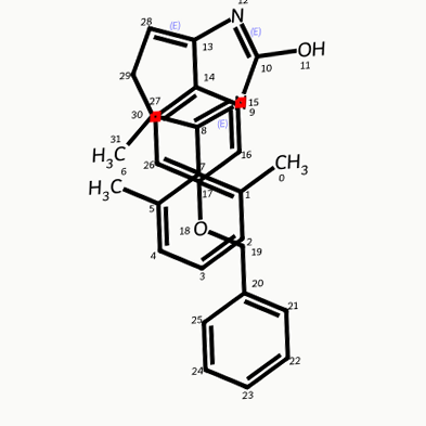 Cc1cccc(C)c1/C1=N/C(O)=N\C(c2ccc(OCc3ccccc3)cc2)=C\CC1C